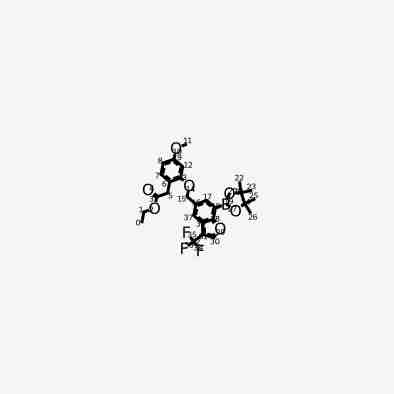 CCOC(=O)Cc1ccc(OC)cc1OCc1cc(B2OC(C)(C)C(C)(C)O2)c2occ(C(F)(F)F)c2c1